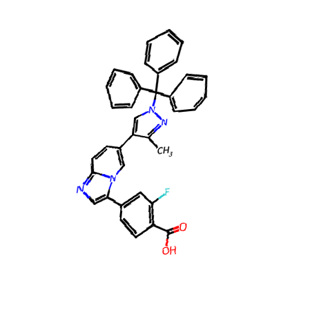 Cc1nn(C(c2ccccc2)(c2ccccc2)c2ccccc2)cc1-c1ccc2ncc(-c3ccc(C(=O)O)c(F)c3)n2c1